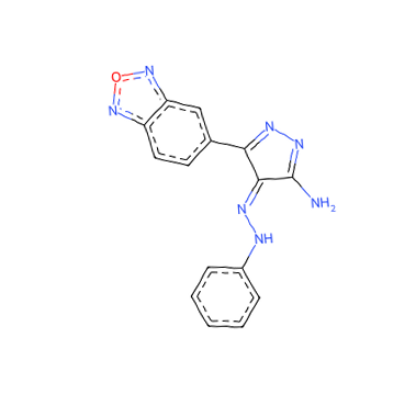 NC1=NN=C(c2ccc3nonc3c2)C1=NNc1ccccc1